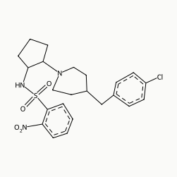 O=[N+]([O-])c1ccccc1S(=O)(=O)NC1CCCC1N1CCC(Cc2ccc(Cl)cc2)CC1